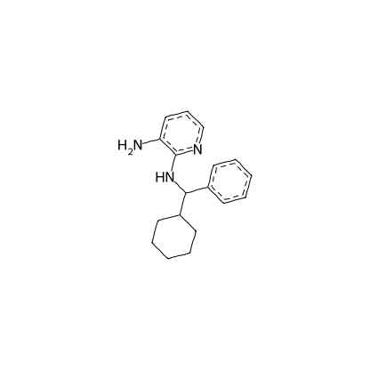 Nc1cccnc1NC(c1ccccc1)C1CCCCC1